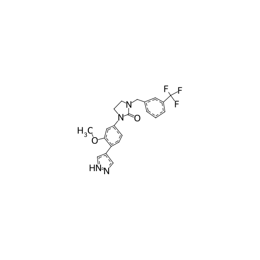 COc1cc(N2CCN(Cc3cccc(C(F)(F)F)c3)C2=O)ccc1-c1cn[nH]c1